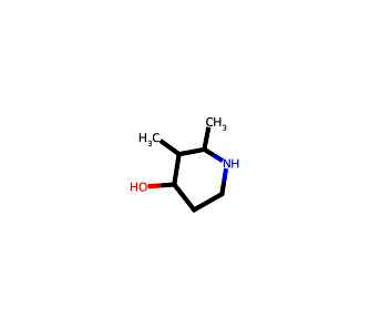 CC1NCCC(O)C1C